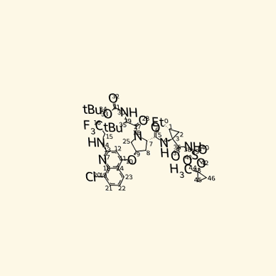 CC[C@@H]1C[C@]1(NC(=O)[C@@H]1C[C@@H](Oc2cc(NCC(F)(F)F)nc3c(Cl)cccc23)CN1C(=O)[C@@H](NC(=O)OC(C)(C)C)C(C)(C)C)C(=O)NS(=O)(=O)OC1(C)CC1